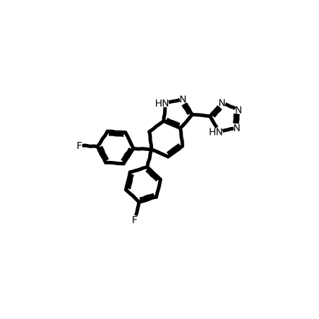 Fc1ccc(C2(c3ccc(F)cc3)C=Cc3c(-c4nnn[nH]4)n[nH]c3C2)cc1